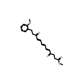 COC(=O)CCC(=O)C=CC=CC=CC(=O)CCc1ccccc1OC